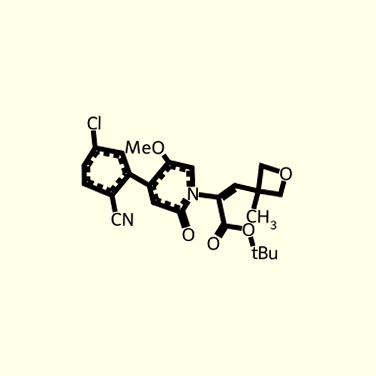 COc1cn(/C(=C/C2(C)COC2)C(=O)OC(C)(C)C)c(=O)cc1-c1cc(Cl)ccc1C#N